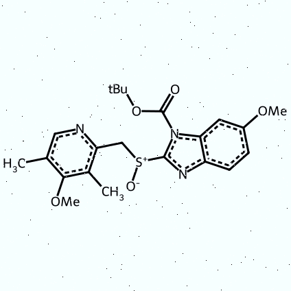 COc1ccc2nc([S+]([O-])Cc3ncc(C)c(OC)c3C)n(C(=O)OC(C)(C)C)c2c1